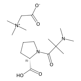 CN(C)C(C)(C)C(=O)N1CCC[C@H]1C(=O)O.C[N+](C)(C)CC(=O)[O-]